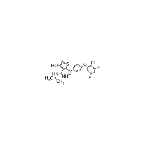 CC(C)NC(=N)c1c(O)nsc1Nc1ccc(Oc2cc(F)cc(F)c2Cl)cc1